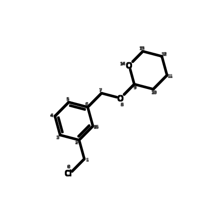 ClCc1cccc(COC2CCCCO2)c1